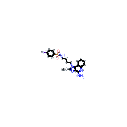 CCCCc1nc2c(N)nc3ccccc3c2n1CCCCNS(=O)(=O)c1ccc(I)cc1